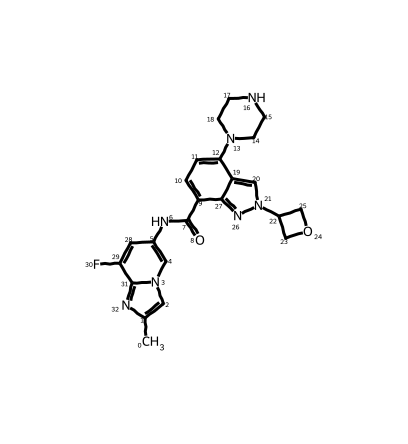 Cc1cn2cc(NC(=O)c3ccc(N4CCNCC4)c4cn(C5COC5)nc34)cc(F)c2n1